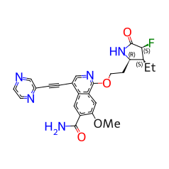 CC[C@@H]1[C@H](F)C(=O)N[C@@H]1CCOc1ncc(C#Cc2cnccn2)c2cc(C(N)=O)c(OC)cc12